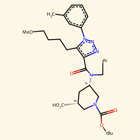 COCCCCc1c(C(=O)N(CC(C)C)[C@H]2C[C@@H](C(=O)O)CN(C(=O)OC(C)(C)C)C2)nnn1-c1cccc(C)c1